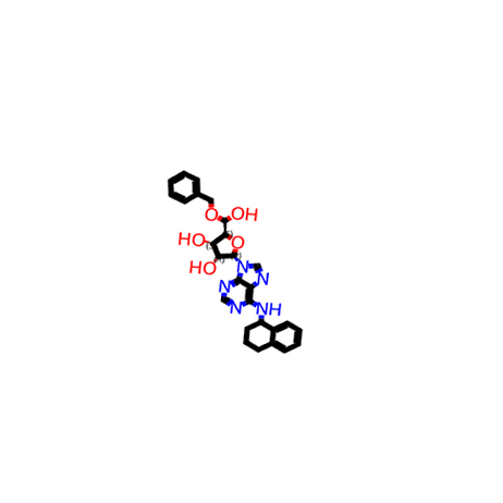 OC(OCc1ccccc1)[C@H]1O[C@@H](n2cnc3c(NC4CCCc5ccccc54)ncnc32)[C@H](O)[C@@H]1O